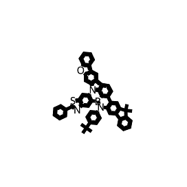 CC(C)(C)c1ccc(N2B3c4cc5nc(-c6ccccc6)sc5cc4-n4c5cc6oc7ccccc7c6cc5c5ccc(c3c54)-c3cc4c(cc32)-c2ccccc2C4(C)C)cc1